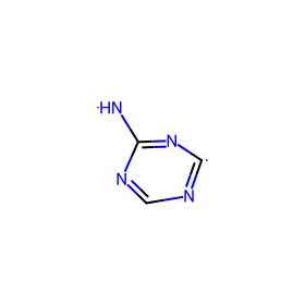 [NH]c1n[c]ncn1